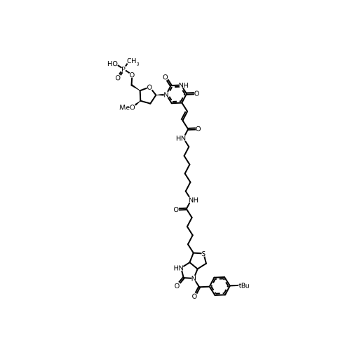 CO[C@@H]1C[C@H](n2cc(/C=C/C(=O)NCCCCCCNC(=O)CCCCC3SCC4C3NC(=O)N4C(=O)c3ccc(C(C)(C)C)cc3)c(=O)[nH]c2=O)O[C@@H]1COP(C)(=O)O